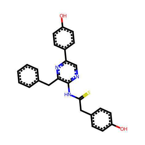 Oc1ccc(CC(=S)Nc2ncc(-c3ccc(O)cc3)nc2Cc2ccccc2)cc1